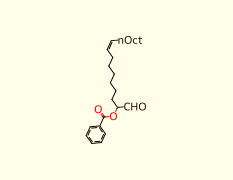 CCCCCCCC/C=C\CCCCCCC(C=O)OC(=O)c1ccccc1